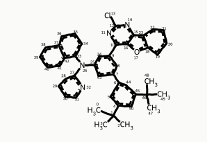 CC(C)(C)c1cc(-c2cc(-c3nc(Cl)nc4c3oc3ccccc34)cc(N(c3ccccn3)c3cccc4ccccc34)c2)cc(C(C)(C)C)c1